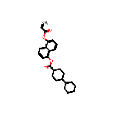 C=CC(=O)Oc1cccc2c(OC(=O)C3CCC(C4CCCCC4)CC3)cccc12